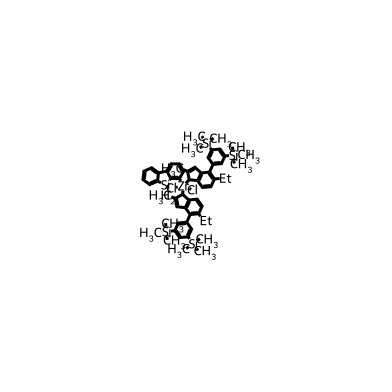 CCc1ccc2c(c1-c1cc([Si](C)(C)C)cc([Si](C)(C)C)c1)C=C(C)[CH]2[Zr]([Cl])([Cl])([c]1cccc2c1[SiH2]c1ccccc1-2)[CH]1C(C)=Cc2c1ccc(CC)c2-c1cc([Si](C)(C)C)cc([Si](C)(C)C)c1